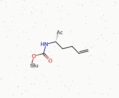 C=CCC[C@H](NC(=O)OC(C)(C)C)C(C)=O